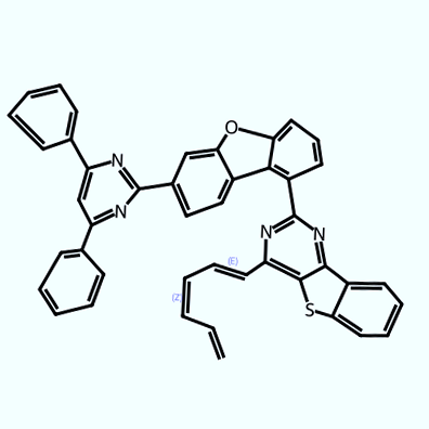 C=C/C=C\C=C\c1nc(-c2cccc3oc4cc(-c5nc(-c6ccccc6)cc(-c6ccccc6)n5)ccc4c23)nc2c1sc1ccccc12